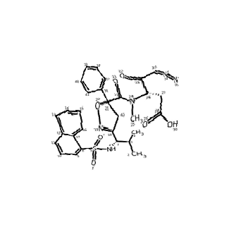 CC(C)[C@H](NS(=O)(=O)c1cccc2ccccc12)C1=NOC(C(=O)N(C)[C@@H](CC(=O)O)C(=O)C=[N+]=[N-])(c2ccccc2)C1